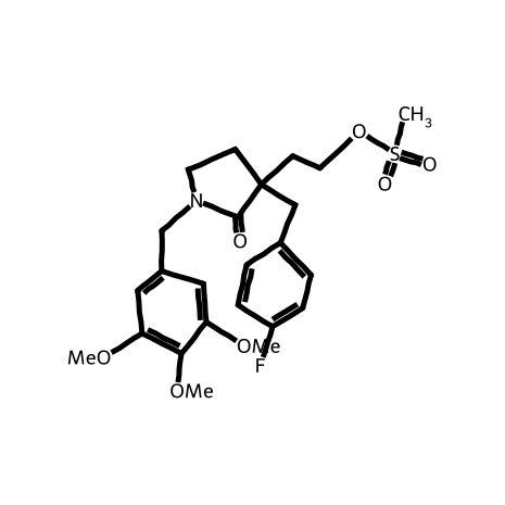 COc1cc(CN2CCC(CCOS(C)(=O)=O)(Cc3ccc(F)cc3)C2=O)cc(OC)c1OC